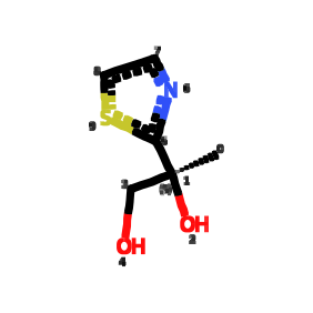 C[C@](O)(CO)c1nccs1